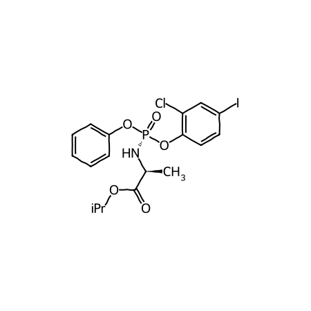 CC(C)OC(=O)[C@H](C)N[P@@](=O)(Oc1ccccc1)Oc1ccc(I)cc1Cl